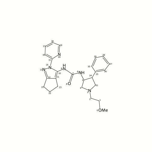 COCCN1CC(NC(=O)Nc2c3c(nn2-c2ccccn2)CCC3)C(c2ccccc2)C1